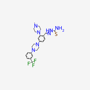 CN1CCN(c2cc(N3CCN(c4cccc(C(F)(F)F)c4)CC3)ccc2C=NNC(N)=S)CC1